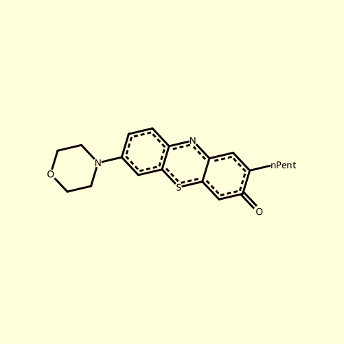 CCCCCc1cc2nc3ccc(N4CCOCC4)cc3sc-2cc1=O